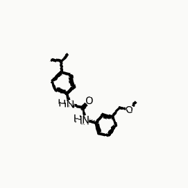 COCc1cccc(NC(=O)Nc2ccc(C(C)C)cc2)c1